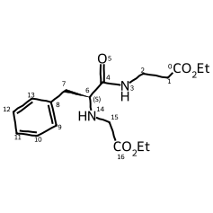 CCOC(=O)CCNC(=O)[C@H](Cc1ccccc1)NCC(=O)OCC